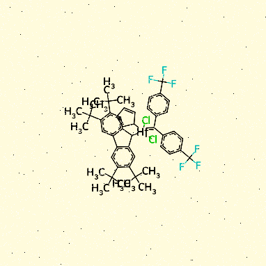 CC(C)(C)c1cc2c(cc1C(C)(C)C)[CH]([Hf]([Cl])([Cl])(=[C](c1ccc(C(F)(F)F)cc1)c1ccc(C(F)(F)F)cc1)[CH]1C=CC=C1)c1cc(C(C)(C)C)c(C(C)(C)C)cc1-2